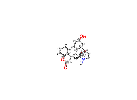 CN1CC[C@]23CCCC[C@H]2[C@H]1Cc1ccc(O)cc13.O=c1ccc2ccccc2o1